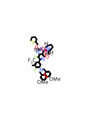 COc1ccc(CN(Cc2ccc(OC)cc2)c2cc(-c3nc4c5c(nc(OCC6CCCCS6)nc5c3F)N3C[C@H]5CC[C@@H]([C@H]3[C@H](C)O4)N5C(=O)OC(C)(C)C)c(C(F)(F)F)c(C)c2F)cc1